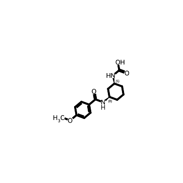 COc1ccc(C(=O)N[C@@H]2CCC[C@H](NC(=O)O)C2)cc1